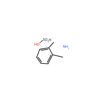 Cc1ccccc1C.N.O=S(=O)(O)O